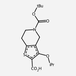 CC(C)Oc1c(C(=O)O)sc2c1CN(C(=O)OC(C)(C)C)CC2